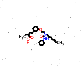 CCCCCCCN(CCO[C@@H]1CCC[C@H](CCC(CC)C(=O)O)C1)C(=O)NC1CCCCC1